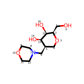 OC[C@H]1OC[C@@H](CN2CCOCC2)[C@@H](O)[C@H]1O